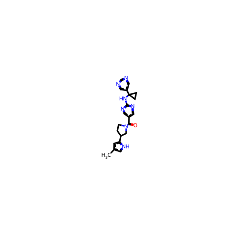 Cc1c[nH]c(C2CCN(C(=O)c3cnc(NC4(c5cncnc5)CC4)nc3)C2)c1